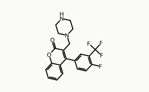 O=c1oc2ccccc2c(-c2ccc(F)c(C(F)(F)F)c2)c1CN1CCNCC1